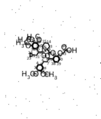 COc1ccc(CC[C@@H](OC(=O)C2CCCCN2C(=O)C(CC2CC2)c2cc(OC)c(OC)c(OC)c2)c2cccc(OCC(=O)O)c2)cc1OC